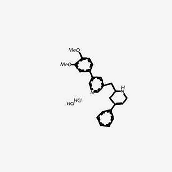 COc1ccc(-c2cncc(CC3CC(c4ccccc4)=CCN3)c2)cc1OC.Cl.Cl